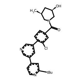 C[C@H]1C[C@@H](O)CN(C(=O)c2ccc(-c3cncc(-c4ccnc(C(C)(C)C)c4)c3)c(Cl)c2)C1